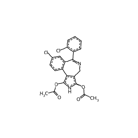 CC(=O)Oc1[nH]c(OC(C)=O)c2c1CN=C(c1ccccc1Cl)c1cc(Cl)ccc1-2